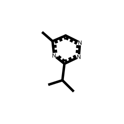 Cc1cnnc(C(C)C)n1